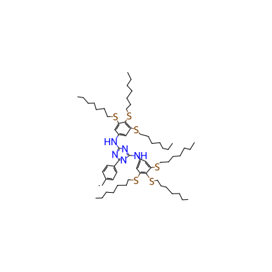 [CH2]c1ccc(-c2nc(Nc3cc(SCCCCCCC)c(SCCCCCCC)c(SCCCCCCC)c3)nc(Nc3cc(SCCCCCCC)c(SCCCCCCC)c(SCCCCCCC)c3)n2)cc1